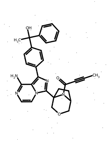 CC#CC(=O)N1C2CCC1(c1nc(-c3ccc(C(C)(O)c4ccccc4)cc3)c3c(N)nccn13)COC2